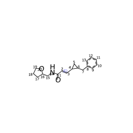 O=C(/C=C/C1CC1Cc1ccccc1)NCC1CCCO1